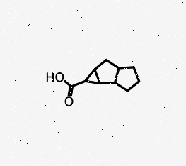 O=C(O)C1C2CC3CCCC3C21